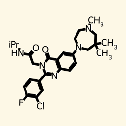 CC(C)NC(=O)Cn1c(-c2ccc(F)c(Cl)c2)nc2ccc(N3CCN(C)CC(C)(C)C3)cc2c1=O